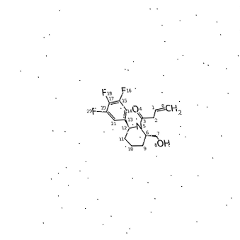 C=CCC(=O)N1[C@@H](CO)CCC[C@H]1c1cc(F)c(F)c(F)c1